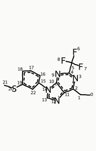 CCc1nc(C(F)(F)F)nc2c1ncn2-c1cccc(SC)c1